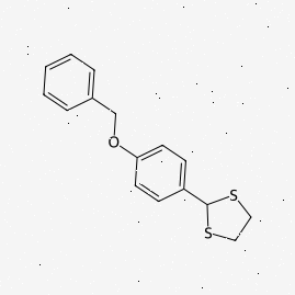 c1ccc(COc2ccc(C3SCCS3)cc2)cc1